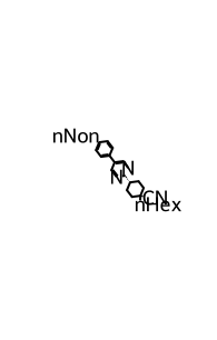 CCCCCCCCCc1ccc(-c2cnc([C@H]3CC[C@@](C#N)(CCCCCC)CC3)nc2)cc1